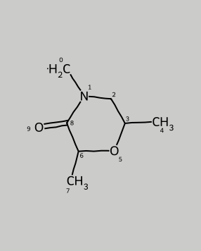 [CH2]N1CC(C)OC(C)C1=O